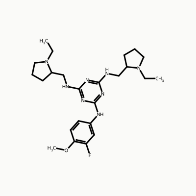 CCN1CCCC1CNc1nc(NCC2CCCN2CC)nc(Nc2ccc(OC)c(F)c2)n1